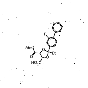 CCC1(c2ccc(-c3ccccc3)c(F)c2)O[C@@H](C(=O)O)[C@H](C(=O)OC)O1